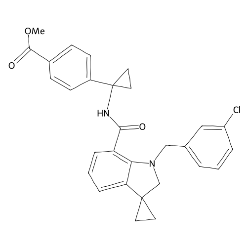 COC(=O)c1ccc(C2(NC(=O)c3cccc4c3N(Cc3cccc(Cl)c3)CC43CC3)CC2)cc1